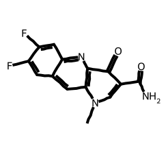 Cn1cc(C(N)=O)c(=O)c2nc3cc(F)c(F)cc3cc21